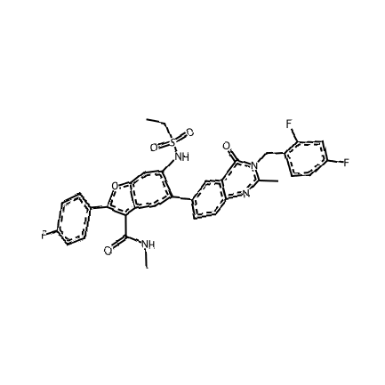 CCS(=O)(=O)Nc1cc2oc(-c3ccc(F)cc3)c(C(=O)NC)c2cc1-c1ccc2nc(C)n(Cc3ccc(F)cc3F)c(=O)c2c1